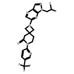 O=C1CC2(CCN1c1ccc(C(F)(F)F)cn1)CN(c1cnc3cnn(CC(F)F)c3n1)C2